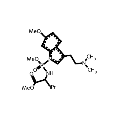 COC(=O)C(NP(=O)(OC)n1cc(CCN(C)C)c2ccc(OC)cc21)C(C)C